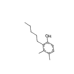 CCCCCc1c(O)ccc(C)c1C